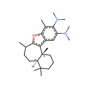 Cc1c(N(C)C)c(N(C)C)cc2c3c(oc12)C(C)CC[C@@H]1C(C)(C)CCC[C@@]31C